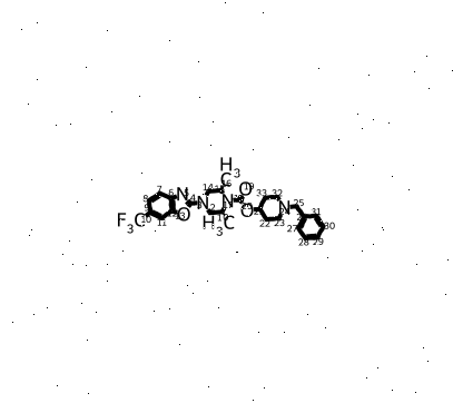 C[C@@H]1CN(c2nc3ccc(C(F)(F)F)cc3o2)C[C@@H](C)N1C(=O)OC1CCN(Cc2ccccc2)CC1